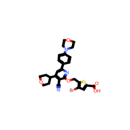 N#Cc1c(C2CCOCC2)cc(-c2ccc(N3CCOCC3)cc2)nc1OCc1sc(C(=O)O)cc1Br